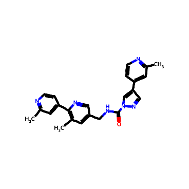 Cc1cc(-c2cnn(C(=O)NCc3cnc(-c4ccnc(C)c4)c(C)c3)c2)ccn1